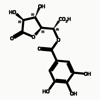 O=C(O[C@@H](C(=O)O)[C@H]1OC(=O)[C@@H](O)[C@@H]1O)c1cc(O)c(O)c(O)c1